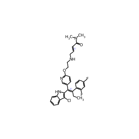 CC/C(=C(/c1ccc(OCCNC/C=C/C(=O)N(C)C)nc1)c1[nH]c2ccccc2c1Cl)c1ccc(F)cc1F